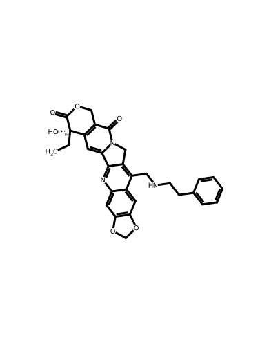 CC[C@@]1(O)C(=O)OCc2c1cc1n(c2=O)Cc2c-1nc1cc3c(cc1c2CNCCc1ccccc1)OCO3